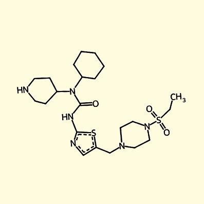 CCS(=O)(=O)N1CCN(Cc2cnc(NC(=O)N(C3CCCCC3)C3CCNCC3)s2)CC1